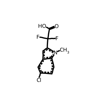 Cn1c(C(F)(F)C(=O)O)cc2cc(Cl)ccc21